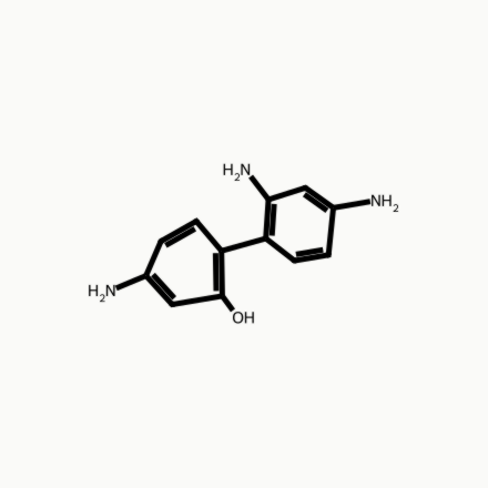 Nc1ccc(-c2ccc(N)cc2O)c(N)c1